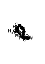 CNC(=O)COc1cc2cc(Nc3nc(N4CCN(CC5CCC6(CC5)CN(c5cc(F)cc7c5CN([C@@H]5CCC(=O)NC5=O)C7=O)C6)CC4)ncc3Cl)ccc2n(C(C)C)c1=O